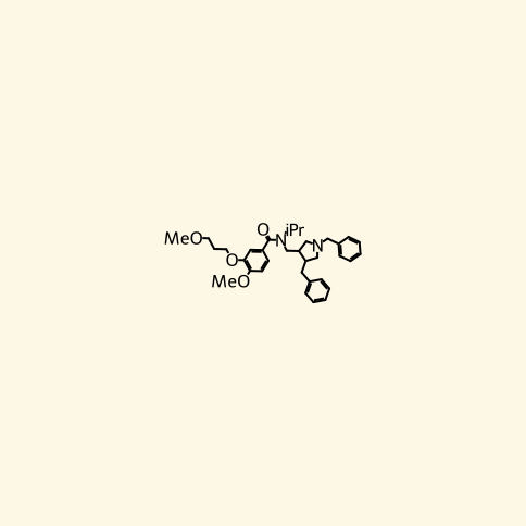 COCCCOc1cc(C(=O)N(CC2CN(Cc3ccccc3)CC2Cc2ccccc2)C(C)C)ccc1OC